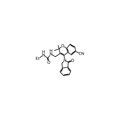 CCNC(=O)NCC1=C(N2Cc3ccccc3C2=O)c2cc(C#N)ccc2OC1(C)C